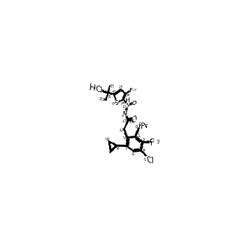 CC(C)c1c(F)c(Cl)cc(C2CC2)c1CC(=O)N=[SH](=O)c1sc(C(C)(C)O)cc1F